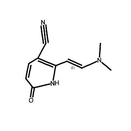 CN(C)/C=C/c1[nH]c(=O)ccc1C#N